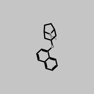 CN1C2CCC1CC(Oc1cccc3ccccc13)C2